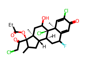 CCC(=O)O[C@]1(C(=O)CCl)C(C)C[C@H]2[C@@H]3CC(F)C4=CC(=O)C(Cl)=C[C@]4(C)[C@@]3(Cl)C(O)C[C@@]21C